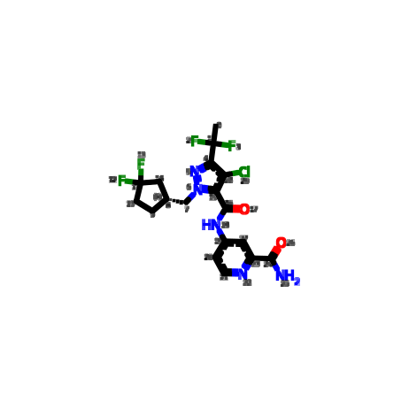 CC(F)(F)c1nn(C[C@@H]2CCC(F)(F)C2)c(C(=O)Nc2ccnc(C(N)=O)c2)c1Cl